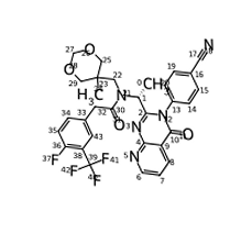 C[C@H](c1nc2ncccc2c(=O)n1-c1ccc(C#N)cc1)N(CC1(C)COCOC1)C(=O)Cc1ccc(F)c(C(F)(F)F)c1